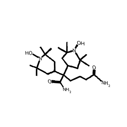 CC1(C)CC(C(CCCC(N)=O)(C(N)=O)C2CC(C)(C)N(O)C(C)(C)C2)CC(C)(C)N1O